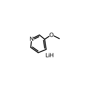 COc1cccnc1.[LiH]